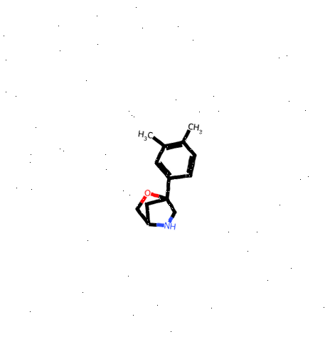 Cc1ccc(C23CNC(CO2)C3)cc1C